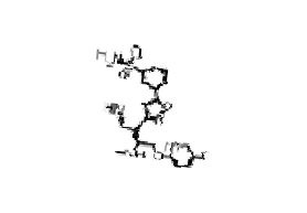 CN/C(COC1=CC=C(F)CN1)=C(\C=N)c1cc(-c2cccc(S(N)(=O)=O)c2)on1